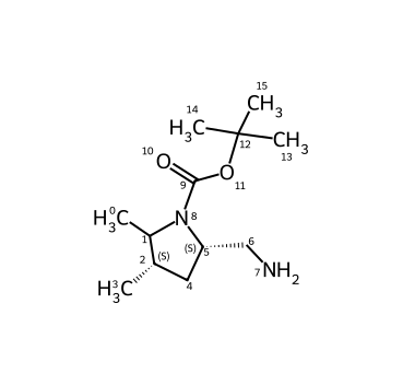 CC1[C@@H](C)C[C@@H](CN)N1C(=O)OC(C)(C)C